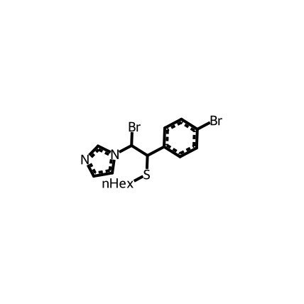 CCCCCCSC(c1ccc(Br)cc1)C(Br)n1ccnc1